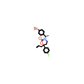 C=CCC1(c2ccc(F)cc2)CCN([C@H](C)c2ccc(Br)cc2)C(=O)O1